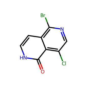 O=c1[nH]ccc2c(Br)ncc(Cl)c12